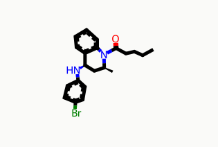 CCCCC(=O)N1c2ccccc2[C@H](Nc2ccc(Br)cc2)C[C@@H]1C